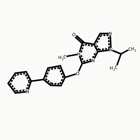 CC(C)n1ncc2c(=O)n(C)c(Oc3ccc(-c4ccccn4)cc3)nc21